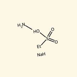 CCS(=O)(=O)O.CN.[NaH]